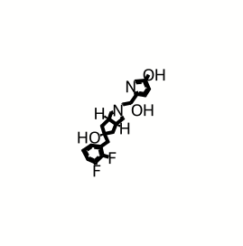 Oc1ccc(C(O)CN2C[C@@H]3C[C@](O)(Cc4cccc(F)c4F)C[C@@H]3C2)nc1